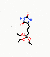 CCO[Si](CCCC1NC(=O)NC1=O)(OCC)OCC